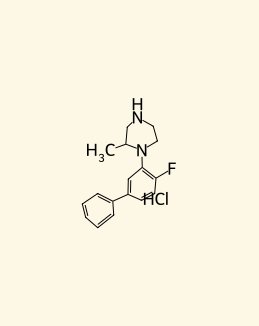 CC1CNCCN1c1cc(-c2ccccc2)ccc1F.Cl